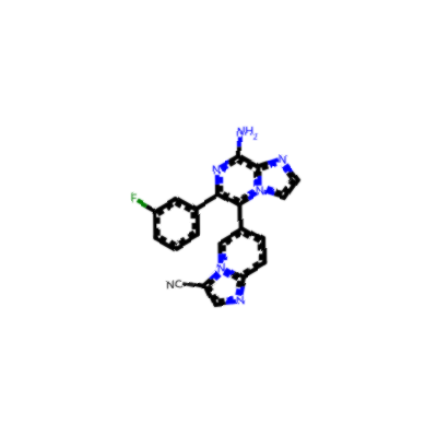 N#Cc1cnc2ccc(-c3c(-c4cccc(F)c4)nc(N)c4nccn34)cn12